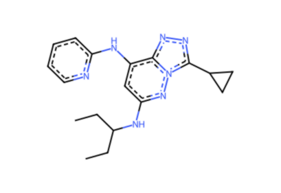 CCC(CC)Nc1cc(Nc2ccccn2)c2nnc(C3CC3)n2n1